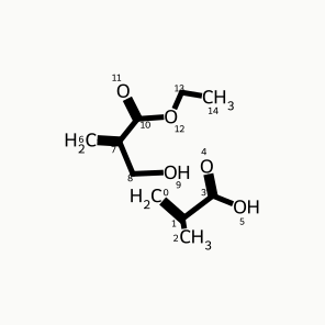 C=C(C)C(=O)O.C=C(CO)C(=O)OCC